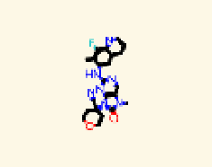 Cc1c(Nc2ncc3c(n2)n(C2(C#N)CCOCC2)c(=O)n3C)cc2cccnc2c1F